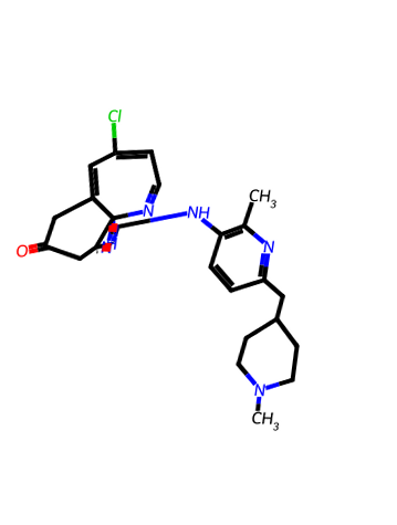 Cc1nc(CC2CCN(C)CC2)ccc1NC1=NC=C2CC(=O)CC3=CC(Cl)=CC=NC23N1